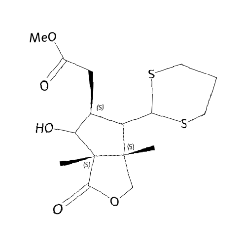 COC(=O)C[C@H]1C(C2SCCCS2)[C@]2(C)COC(=O)[C@]2(C)C1O